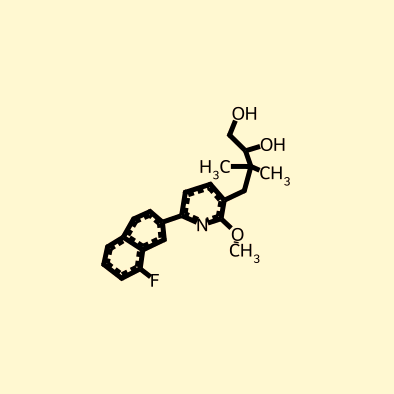 COc1nc(-c2ccc3cccc(F)c3c2)ccc1CC(C)(C)C(O)CO